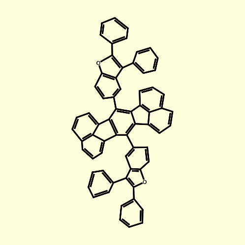 c1ccc(-c2oc3ccc(-c4c5c6cccc7cccc(c5c(-c5ccc8oc(-c9ccccc9)c(-c9ccccc9)c8c5)c5c8cccc9cccc(c45)c98)c76)cc3c2-c2ccccc2)cc1